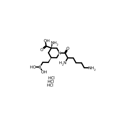 Cl.Cl.Cl.NCCCCC(N)C(=O)N1C[C@@H](CCB(O)O)C[C@](N)(C(=O)O)C1